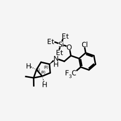 CC[Si](CC)(CC)OC(CN[C@H]1C[C@@H]2[C@H](C1)C2(C)C)c1c(Cl)cccc1C(F)(F)F